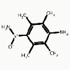 Cc1c(C)c([S+](N)[O-])c(C)c(C)c1N